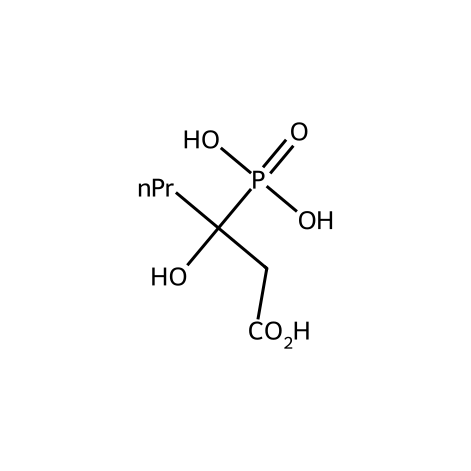 CCCC(O)(CC(=O)O)P(=O)(O)O